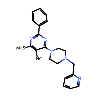 [C-]#[N+]c1c(SC)nc(-c2ccccc2)nc1N1CCN(Cc2ccccn2)CC1